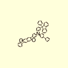 c1ccc(-c2ccc(N(c3cccc(C4(c5ccccc5)c5ccccc5-c5ccccc54)c3)c3ccc4c(c3)oc3cc5cc6c(cc5cc34)oc3ccccc36)cc2)cc1